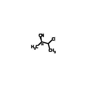 CC(Cl)[C@@H](C)C#N